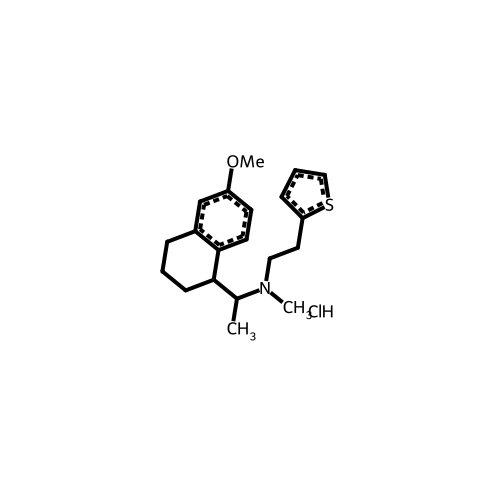 COc1ccc2c(c1)CCCC2C(C)N(C)CCc1cccs1.Cl